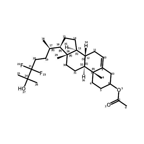 CC(=O)OC1CC[C@@]2(C)C(=CC[C@H]3[C@@H]4CC[C@H]([C@H](C)CCC(F)(F)C(C)(C)O)[C@@]4(C)CC[C@@H]32)C1